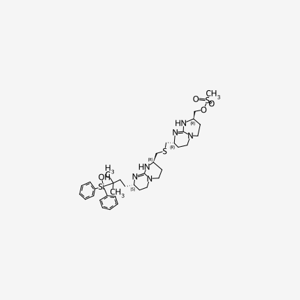 CC(C)(CC[C@H]1CCN2CC[C@H](CSC[C@H]3CCN4CC[C@H](COS(C)(=O)=O)NC4=N3)NC2=N1)[Si](O)(c1ccccc1)c1ccccc1